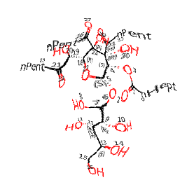 CCCCCCCC(=O)O[C@@H]1[C@H](OC(O)[C@H](O)[C@@H](O)[C@@H](O)CO)O[C@H](C(O)C(=O)CCCCC)[C@](O)(C(=O)CCCCC)[C@@]1(O)C(=O)CCCCC